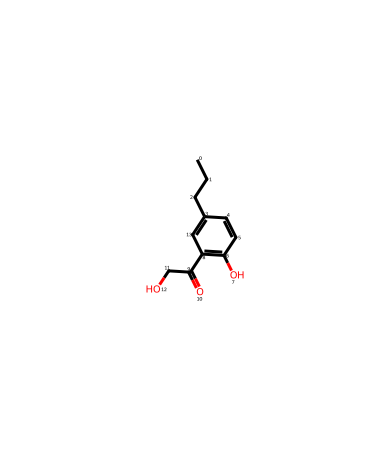 CCCc1ccc(O)c(C(=O)CO)c1